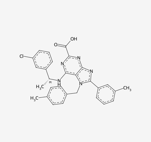 Cc1ccc(Cn2c(-c3cccc(C)c3)nc3nc(C(=O)O)nc(N[C@H](C)c4cccc(Cl)c4)c32)cc1